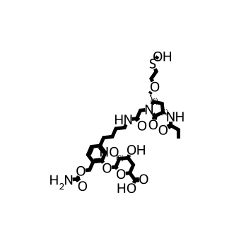 CCC(=O)N[C@H]1C[C@@H](COCCSO)N(CC(=O)NCCCCc2ccc(COC(N)=O)c(OC3OC(C(=O)O)CC(O)[C@H]3O)c2)C1=O